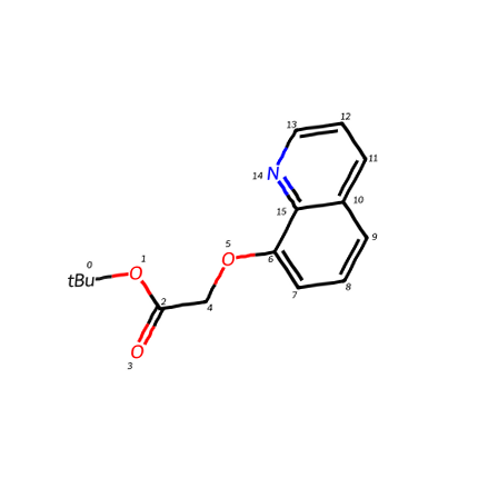 CC(C)(C)OC(=O)COc1cccc2cccnc12